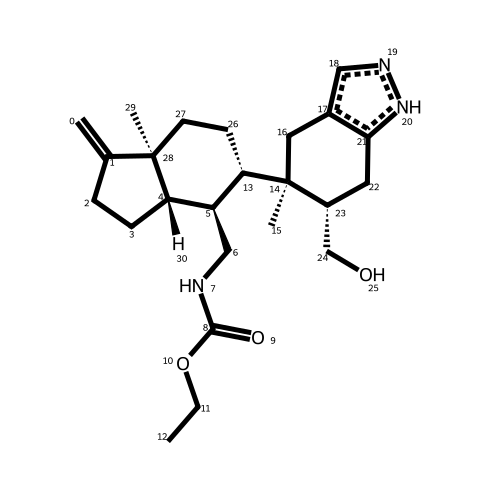 C=C1CC[C@H]2[C@H](CNC(=O)OCC)[C@@H]([C@@]3(C)Cc4cn[nH]c4C[C@@H]3CO)CC[C@]12C